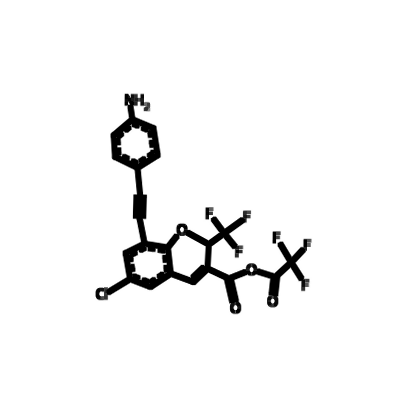 Nc1ccc(C#Cc2cc(Cl)cc3c2OC(C(F)(F)F)C(C(=O)OC(=O)C(F)(F)F)=C3)cc1